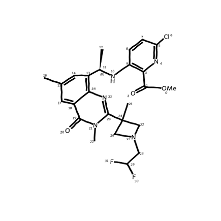 COC(=O)c1nc(Cl)ccc1N[C@H](C)c1cc(C)cc2c(=O)n(C)c(C3(C)CN(CC(F)F)C3)nc12